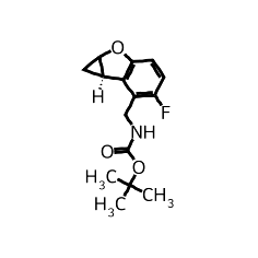 CC(C)(C)OC(=O)NCc1c(F)ccc2c1[C@H]1CC1O2